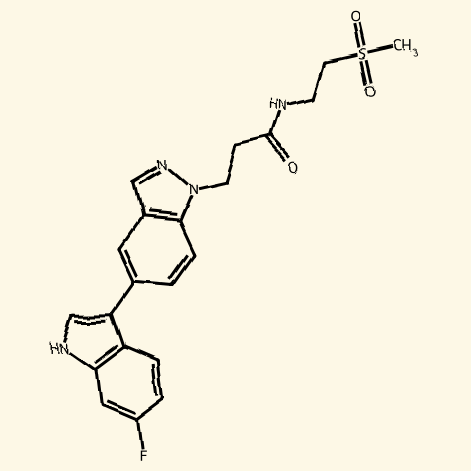 CS(=O)(=O)CCNC(=O)CCn1ncc2cc(-c3c[nH]c4cc(F)ccc34)ccc21